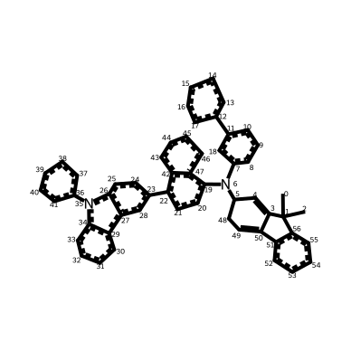 CC1(C)C2=CC(N(c3cccc(-c4ccccc4)c3)c3ccc(-c4ccc5c(c4)c4ccccc4n5-c4ccccc4)c4ccccc34)CC=C2c2ccccc21